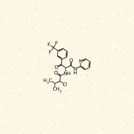 CC(C)C(Cl)C(=O)NC(C(=O)Nc1ccccn1)C(=O)c1cccc(C(F)(F)F)c1